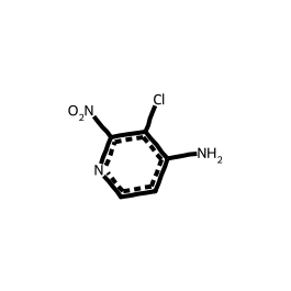 Nc1ccnc([N+](=O)[O-])c1Cl